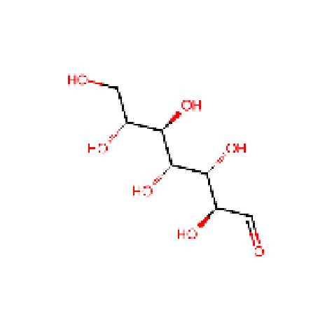 O=C[C@@H](O)[C@@H](O)[C@H](O)[C@H](O)[C@H](O)CO